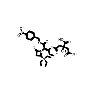 CCC(OC(=O)CC(O)(CC(=O)O)C(=O)O)=C(C(=O)OCc1ccc([N+](=O)[O-])cc1)N1C(=O)CC1[N+](CC)(CC)CC